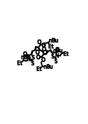 CCCCC(CC)COC(=O)c1cc(/C=C2\SC(=S)N(CC(CC)CCCC)C2=O)oc1-c1oc(/C=C2\SC(=S)N(CC(CC)CCCC)C2=O)cc1C(=O)OCC(CC)CCCC